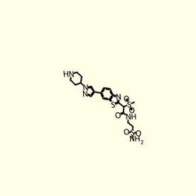 CS(=O)(=O)C(C(=O)NCCS(N)(=O)=O)c1nc2ccc(-c3cnn(C4CCNCC4)c3)cc2s1